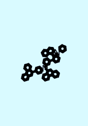 c1ccc(-n2c3cccc(-c4cccc(N(c5ccc(-c6cc7ccccc7c7ccccc67)cc5)c5cc6ccccc6c6ccccc56)c4)c3c3c4ccccc4ccc32)cc1